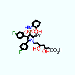 CC(C)c1c(S(=O)(=O)Nc2ccccc2O)c(-c2ccc(F)cc2)c(-c2ccc(F)cc2)n1CC[C@@H](O)C[C@@H](O)CC(=O)O